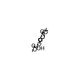 CCOC(=O)[C@H](O)COc1ccc2c(c1)CCN(C(=O)OC(C)(C)C)C2